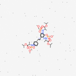 COCP(=O)(NC(C)C(=O)OC(C)C)Oc1ccc(/C=C/c2cc(OP(=O)(COC)NC(C)C(=O)OC(C)C)cc(OP(=O)(COC)NC(C)C(=O)OC(C)C)c2)cc1